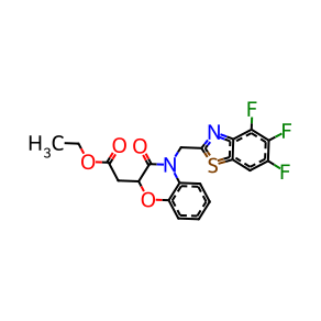 CCOC(=O)CC1Oc2ccccc2N(Cc2nc3c(F)c(F)c(F)cc3s2)C1=O